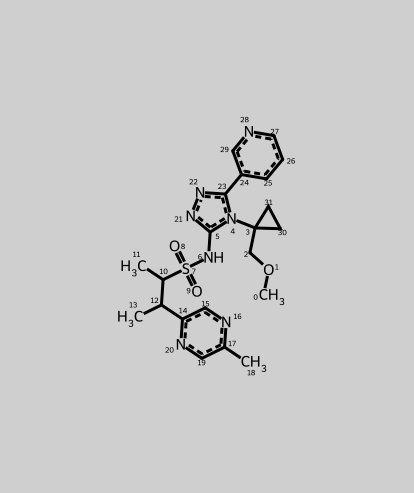 COCC1(n2c(NS(=O)(=O)C(C)C(C)c3cnc(C)cn3)nnc2-c2cccnc2)CC1